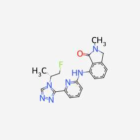 C[C@H](CF)n1cnnc1-c1cccc(Nc2cccc3c2C(=O)N(C)C3)n1